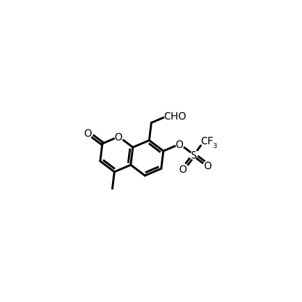 Cc1cc(=O)oc2c(CC=O)c(OS(=O)(=O)C(F)(F)F)ccc12